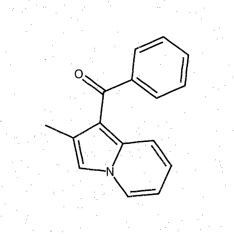 Cc1cn2ccccc2c1C(=O)c1ccccc1